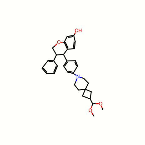 COC(OC)C1CC2(CCN(c3ccc(C4c5ccc(O)cc5OCC4c4ccccc4)cc3)CC2)C1